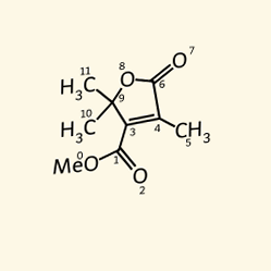 COC(=O)C1=C(C)C(=O)OC1(C)C